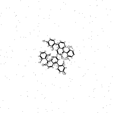 Cc1cccc(C)c1-c1c2nccc(-c3ccc(F)cc3F)c2cc[n+]1[O-].[O-][n+]1ccc2c(-c3ccc(F)cc3F)ccnc2c1-c1c(F)cccc1F